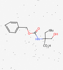 CC(C)(C)CC(CO)(NC(=O)OCc1ccccc1)C(=O)O